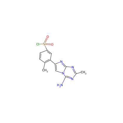 Cc1nc(N)n2cc(-c3cc(S(=O)(=O)Cl)ccc3C)nc2n1